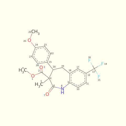 COC(=O)C1(C)C(=O)Nc2ccc(C(F)(F)F)cc2CC1c1ccc(OC)cc1